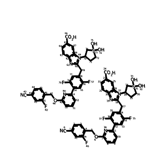 N#Cc1ccc(COc2cccc(-c3cc(F)c(Cc4nc5ccc(C(=O)O)cc5n4C4CCS(O)(O)C4)cc3F)n2)c(F)c1.N#Cc1ccc(COc2cccc(-c3cc(F)c(Cc4nc5ccc(C(=O)O)cc5n4C4CCS(O)(O)C4)cc3F)n2)c(F)c1